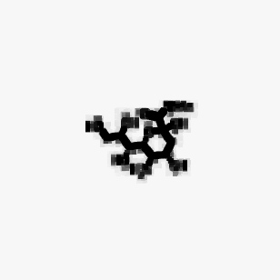 CC(=O)NC(=O)[C@]1(O)C[C@H](O)[C@@H](N)[C@H]([C@H](O)[C@H](O)CO)O1